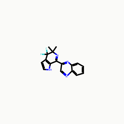 CC1(C)N=C(c2cnc3ccccc3n2)c2[nH]ccc2C1(F)F